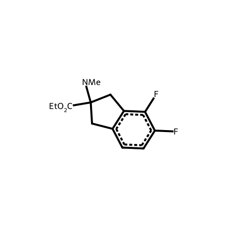 CCOC(=O)C1(NC)Cc2ccc(F)c(F)c2C1